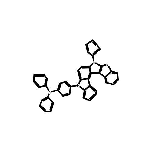 c1ccc(N(c2ccccc2)c2ccc(-n3c4ccccc4c4c5c6c7ccccc7sc6n(-c6ccccc6)c5ccc43)cc2)cc1